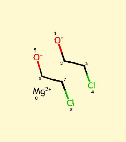 [Mg+2].[O-]CCCl.[O-]CCCl